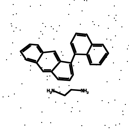 NCCN.c1ccc2cc3c(-c4cccc5ccccc45)cccc3cc2c1